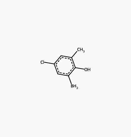 Bc1cc(Cl)cc(C)c1O